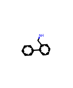 [NH]Cc1ccccc1-c1ccccc1